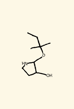 CCC(C)(C)OC1NCCC1O